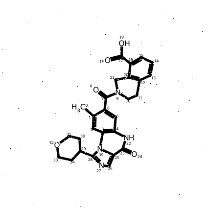 Cc1cc2c(cc1C(=O)N1CCc3cccc(C(=O)O)c3C1)[nH]c(=O)c1cnc(C3CCOCC3)n12